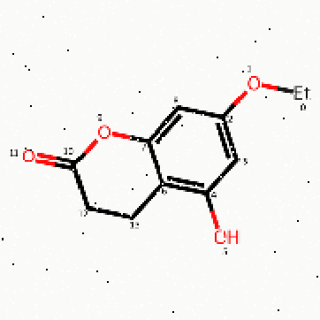 CCOc1cc(O)c2c(c1)OC(=O)CC2